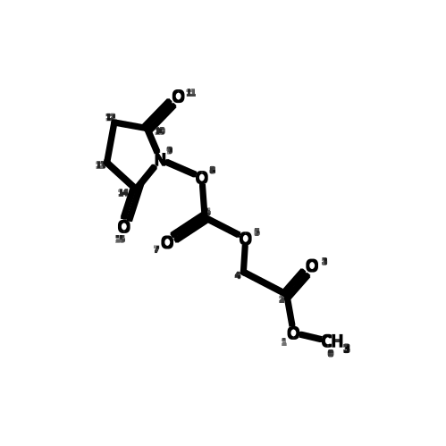 COC(=O)COC(=O)ON1C(=O)CCC1=O